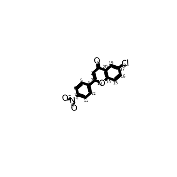 O=c1cc(-c2ccc([N+](=O)[O-])cc2)oc2ccc(Cl)cc12